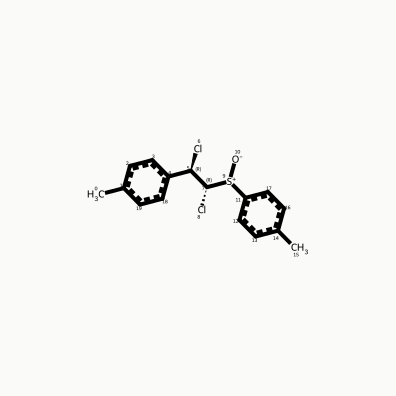 Cc1ccc([C@@H](Cl)[C@@H](Cl)[S+]([O-])c2ccc(C)cc2)cc1